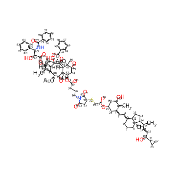 C=C1/C(=C\C=C2/CCC[C@@]3(C)C2CCC3[C@@H](C)/C=C/C(O)C2CC2)C[C@@H](OC(=O)CSC2CC(=O)N(CCCC(=O)OC3CC4OCC4(OC(C)=O)[C@H]4C(OC(=O)c5ccccc5)C5(O)CC(OC(=O)C(O)C(NC(=O)c6ccccc6)c6ccccc6)C(C)=C(C(OC(C)=O)C(=O)C34C)C5(C)C)C2=O)C[C@@H]1O